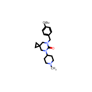 CC(C)COc1ccc(CN2CC3(CC3)CN(C3CCN(C)CC3)C2=O)cc1